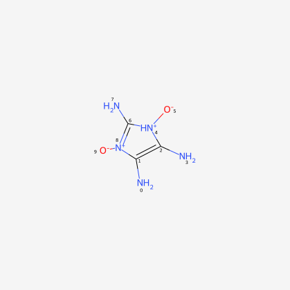 NC1=C(N)[NH+]([O-])C(N)=[N+]1[O-]